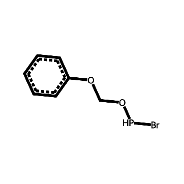 BrPOCOc1ccccc1